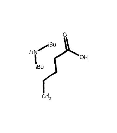 CCC(C)NC(C)CC.CCCCC(=O)O